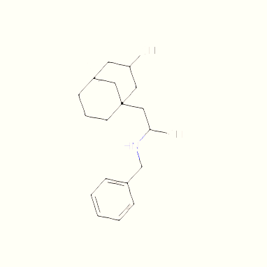 CC1C[C@@H]2CCCC(CC(C)NCc3ccccc3)(C1)C2